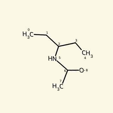 CCC(CC)NC(C)[O]